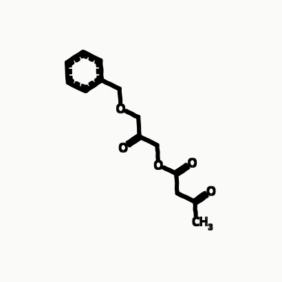 CC(=O)CC(=O)OCC(=O)COCc1ccccc1